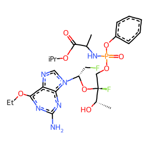 CCOc1nc(N)nc2c1ncn2[C@H](CF)O[C@](F)(COP(=O)(NC(C)C(=O)OC(C)C)Oc1ccccc1)[C@H](C)O